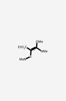 CCOC(=O)/C(SNC)=C(/NC)OC